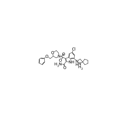 NC(=O)c1[nH]c2c(NCC3(N)CCCC3)cc(Cl)cc2c1S(=O)(=O)N1CCOC(COc2ccccc2)C1